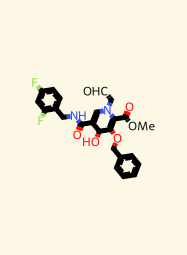 COC(=O)C1=C(OCc2ccccc2)C(O)C(C(=O)NCc2ccc(F)cc2F)=CN1CC=O